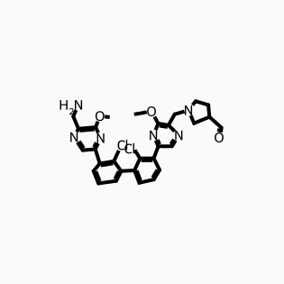 COc1nc(-c2cccc(-c3cccc(-c4cnc(CN5CCC(C=O)C5)c(OC)n4)c3Cl)c2Cl)cnc1CN